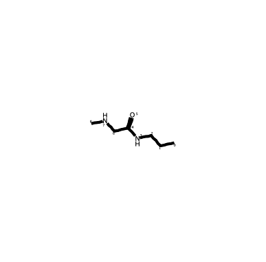 CCCNC(=O)CNC